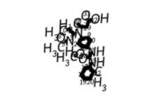 CCC(NC(C)=O)N(c1ccc(NC(=O)Nc2ccccc2C)c(OC)c1)C(C)CC(=O)O